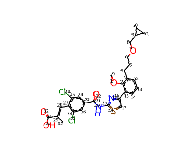 COc1c(CCCOCC2CC2)cccc1-c1csc(NC(=O)c2cc(Cl)c(C=C(C)C(=O)O)c(Cl)c2)n1